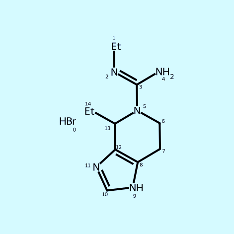 Br.CCN=C(N)N1CCc2[nH]cnc2C1CC